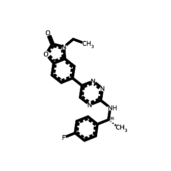 CCn1c(=O)oc2ccc(-c3cnc(N[C@H](C)c4ccc(F)cc4)nn3)cc21